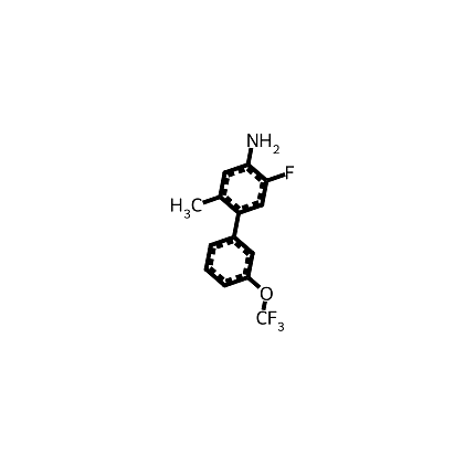 Cc1cc(N)c(F)cc1-c1cccc(OC(F)(F)F)c1